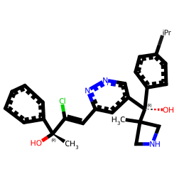 CC(C)c1ccc([C@](O)(c2cnnc(C=C(Cl)[C@](C)(O)c3ccccc3)c2)C2(C)CNC2)cc1